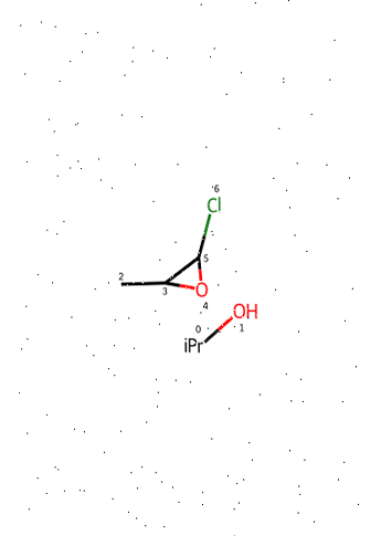 CC(C)O.CC1OC1Cl